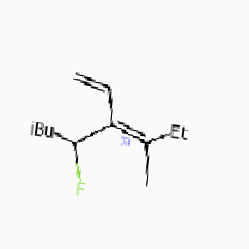 C=C/C(=C(/C)CC)C(F)C(C)CC